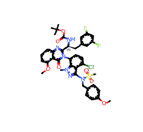 COc1ccc(CN(c2nn(C)c3c(-n4c([C@H](Cc5cc(F)cc(F)c5)NC(=O)OC(C)(C)C)nc5cccc(OC)c5c4=O)ccc(Cl)c23)S(C)(=O)=O)cc1